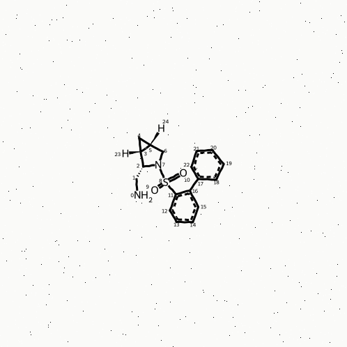 NC[C@@H]1[C@@H]2C[C@@H]2CN1S(=O)(=O)c1ccccc1-c1ccccc1